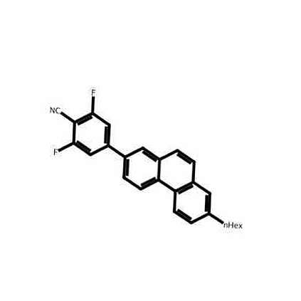 CCCCCCc1ccc2c(ccc3cc(-c4cc(F)c(C#N)c(F)c4)ccc32)c1